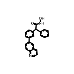 O=C(NO)C(c1ccccc1)c1cccc(-c2ccc3ncccc3c2)c1